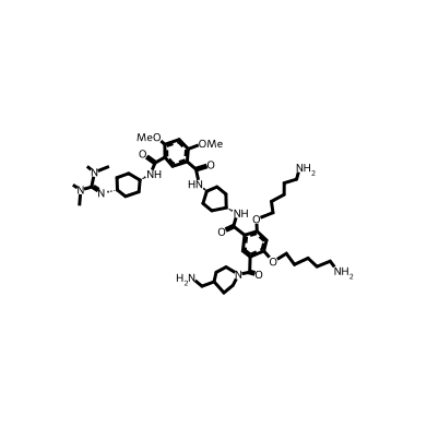 COc1cc(OC)c(C(=O)N[C@H]2CC[C@@H](NC(=O)c3cc(C(=O)N4CCC(CN)CC4)c(OCCCCCN)cc3OCCCCCN)CC2)cc1C(=O)N[C@H]1CC[C@@H](N=C(N(C)C)N(C)C)CC1